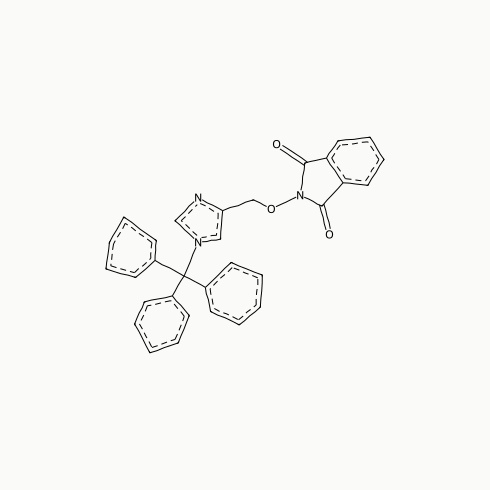 O=C1c2ccccc2C(=O)N1OCc1cn(C(c2ccccc2)(c2ccccc2)c2ccccc2)cn1